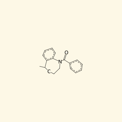 CC1CCCN(C(=O)c2ccccc2)c2ccccc21